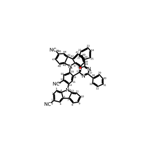 N#Cc1ccc2c(c1)c1ccccc1n2-c1cc(-c2nc(-c3ccccc3)nc(-c3ccccc3)n2)c(-n2c3ccccc3c3cc(C#N)ccc32)cc1C#N